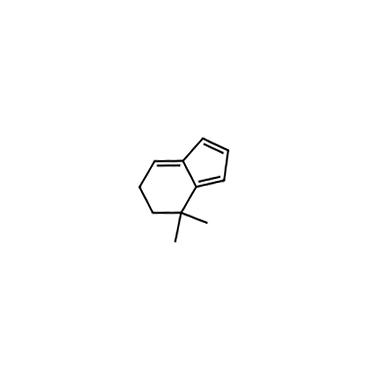 CC1(C)CCC=C2C=CC=C21